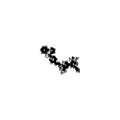 Cn1cnc2c(-c3cnc(OCCC4CCN(C(=O)[C@@H]5CCCN5c5ccccc5)CC4)c(C(F)(F)F)c3)nc(C#N)nc21